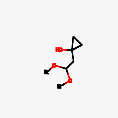 CCOC(CC1(O)CC1)OCC